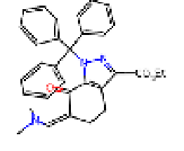 CCOC(=O)c1nn(C(c2ccccc2)(c2ccccc2)c2ccccc2)c2c1CC/C(=C/N(C)C)C2=O